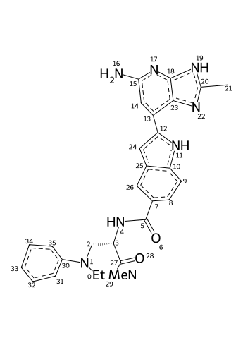 CCN(C[C@H](NC(=O)c1ccc2[nH]c(-c3cc(N)nc4[nH]c(C)nc34)cc2c1)C(=O)NC)c1ccccc1